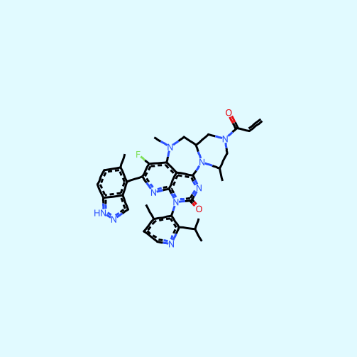 C=CC(=O)N1CC(C)N2c3nc(=O)n(-c4c(C)ccnc4C(C)C)c4nc(-c5c(C)ccc6[nH]ncc56)c(F)c(c34)N(C)CC2C1